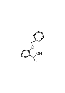 [CH2]C(O)c1ccccc1OCc1ccccc1